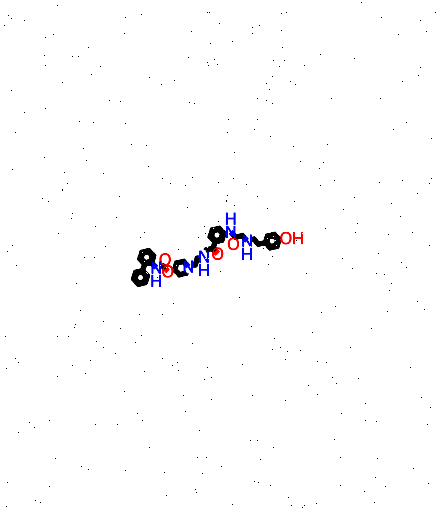 O=C(CNCCc1ccc(O)cc1)Nc1cccc(C(=O)CNCCN2CCC(OC(=O)Nc3ccccc3-c3ccccc3)CC2)c1